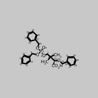 CC(C)(COP(=O)(OCc1ccccc1)OCc1ccccc1)[C@@H](OCc1ccccc1)C(=O)O